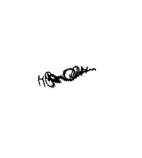 CCCCCCCCC[C@H](O)C[C@H](O)CCc1ccc(O)c(OC)c1